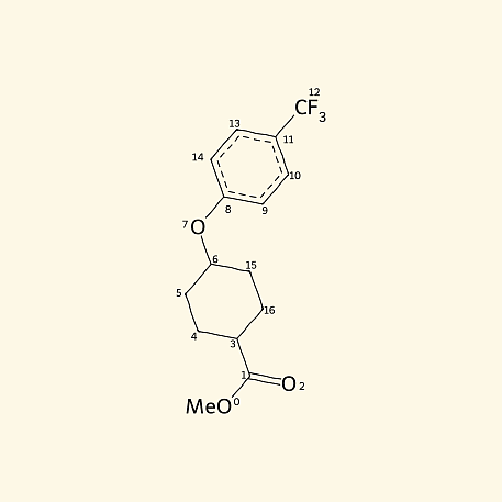 COC(=O)C1CCC(Oc2ccc(C(F)(F)F)cc2)CC1